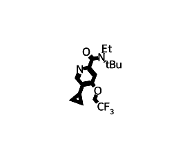 CCN(C(=O)c1cc(OCC(F)(F)F)c(C2CC2)cn1)C(C)(C)C